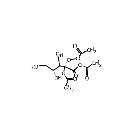 CC(=O)OO[C@@](OC(C)=O)(C(=O)OC(C)=O)[C@H](O)[C@H](O)CO